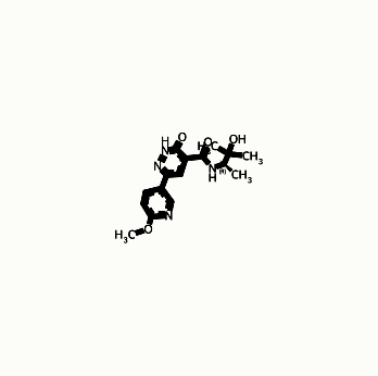 COc1ccc(-c2cc(C(=O)N[C@H](C)C(C)(C)O)c(=O)[nH]n2)cn1